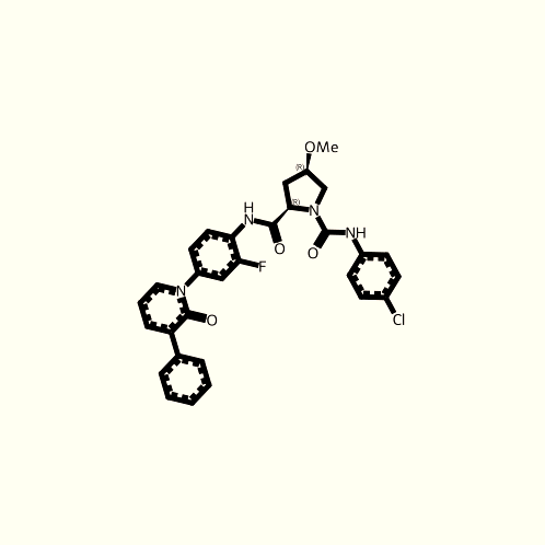 CO[C@@H]1C[C@H](C(=O)Nc2ccc(-n3cccc(-c4ccccc4)c3=O)cc2F)N(C(=O)Nc2ccc(Cl)cc2)C1